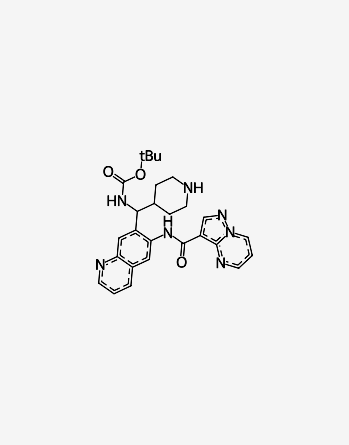 CC(C)(C)OC(=O)NC(c1cc2ncccc2cc1NC(=O)c1cnn2cccnc12)C1CCNCC1